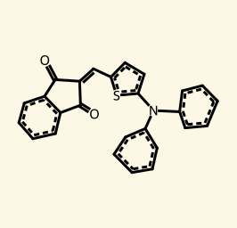 O=C1C(=Cc2ccc(N(c3ccccc3)c3ccccc3)s2)C(=O)c2ccccc21